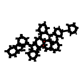 c1ccc(-c2ccc(N(c3ccccc3-c3ccc4c5ccccc5n(-c5cccc6c5sc5ccccc56)c4c3)c3cccc4ccccc34)cc2)cc1